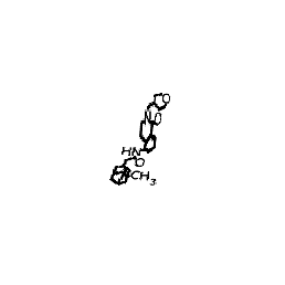 CC12C=C3CC(C1)CC(CC(=O)Nc1cccc4c1CCN(CC1CCOCC1)C4=O)(C3)C2